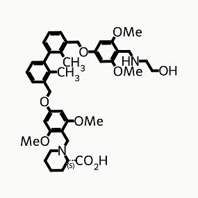 COc1cc(OCc2cccc(-c3cccc(COc4cc(OC)c(CN5CCCC[C@H]5C(=O)O)c(OC)c4)c3C)c2C)cc(OC)c1CNCCO